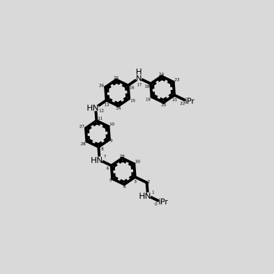 CC(C)NCc1ccc(Nc2ccc(Nc3ccc(Nc4ccc(C(C)C)cc4)cc3)cc2)cc1